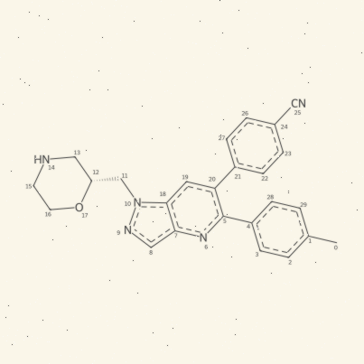 Cc1ccc(-c2nc3cnn(C[C@H]4CNCCO4)c3cc2-c2ccc(C#N)cc2)cc1